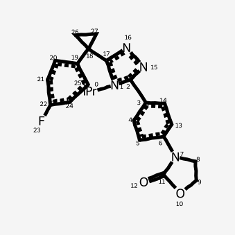 CC(C)n1c(-c2ccc(N3CCOC3=O)cc2)nnc1C1(c2ccc(F)cc2)CC1